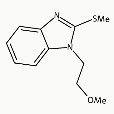 COCCn1c(SC)nc2ccccc21